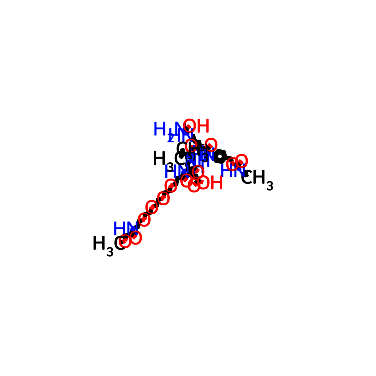 CCNC(=O)OCc1ccc(NC(=O)[C@H](CCCNC(N)O)NC(=O)[C@@H](NCC(C=O)(CCC(=O)O)NC(=O)CCOCCOCCOCCOCCNC(=O)COC)C(C)C)cc1